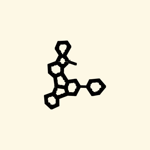 Cn1c2ccccc2c2ccc3c(c4cc(-c5ccccc5)cc5c6ccccc6n3c54)c21